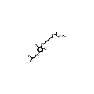 CON=C(C)OCCCCCOc1c(Cl)cc(OCC=C(Cl)Cl)cc1Cl